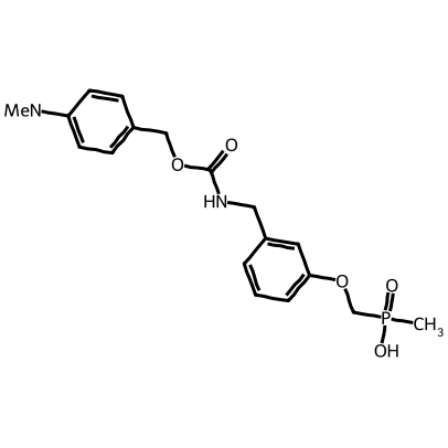 CNc1ccc(COC(=O)NCc2cccc(OCP(C)(=O)O)c2)cc1